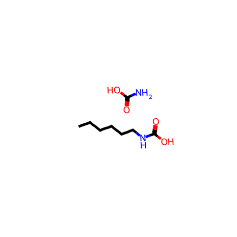 CCCCCCNC(=O)O.NC(=O)O